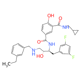 CCc1cccc(CNC[C@@H](O)[C@H](Cc2cc(F)cc(F)c2)NC(=O)c2ccc(O)c(C(=O)NCC3CC3)c2)c1